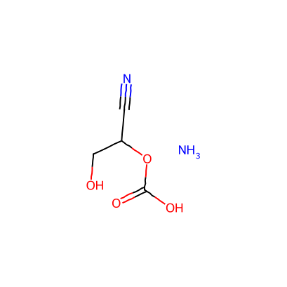 N.N#CC(CO)OC(=O)O